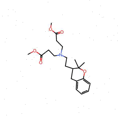 COC(=O)CCN(CCC(=O)OC)CCC1Cc2ccccc2OC1(C)C